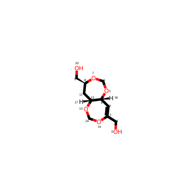 OCC1=C[C@H]2OCO[C@H](CO)C[C@H]2OCO1